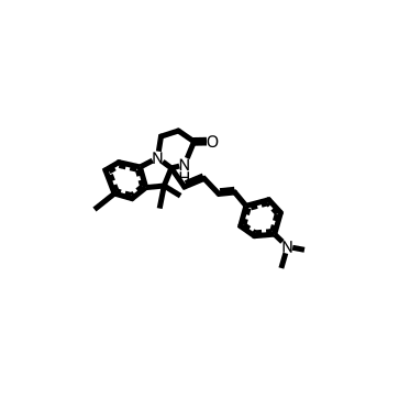 Cc1ccc2c(c1)C(C)(C)C1(/C=C/C=C/c3ccc(N(C)C)cc3)NC(=O)CCN21